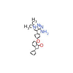 CC(C)n1cc(-c2ccc(Oc3cccc4c3C(=O)CC4c3ccccc3)cc2)c2c(N)ncnc21